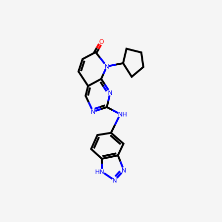 O=c1ccc2cnc(Nc3ccc4[nH]nnc4c3)nc2n1C1CCCC1